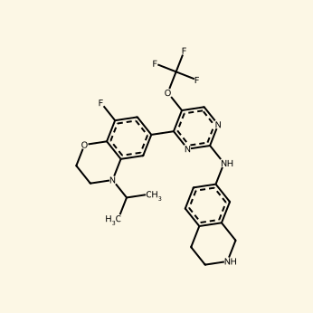 CC(C)N1CCOc2c(F)cc(-c3nc(Nc4ccc5c(c4)CNCC5)ncc3OC(F)(F)F)cc21